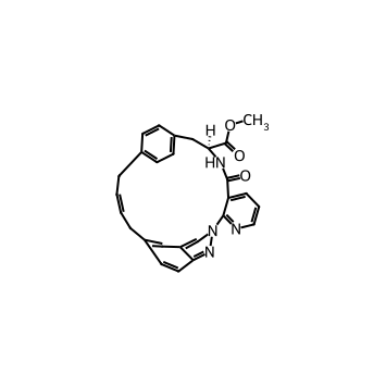 COC(=O)[C@@H]1Cc2ccc(cc2)C/C=C\Cc2ccc3nn(cc3c2)-c2ncccc2C(=O)N1